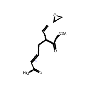 C1CO1.C=CC(C/C=C/C(=O)O)C(=O)O